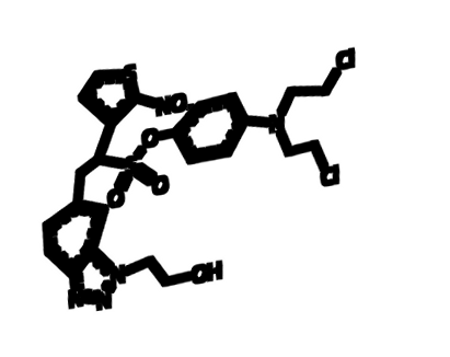 O=[N+]([O-])c1sccc1C(Cc1ccc2nnn(CCO)c2c1)S(=O)(=O)Oc1ccc(N(CCCl)CCCl)cc1